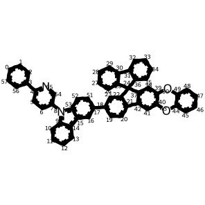 c1ccc(-c2ccc(-n3c4ccccc4c4cc(-c5ccc6c(c5)C5(c7ccccc7-c7ccccc75)c5cc7c(cc5-6)Oc5ccccc5O7)ccc43)cn2)cc1